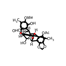 COc1c(C)cc2c(c1O)[C@@H]1N[C@@H](C2)[C@H](O)N2C1[C@@H]1SC[C@H](OC=O)C(=O)OC[C@H]2c2c3c(c(C)c(OC(C)=O)c21)OCO3